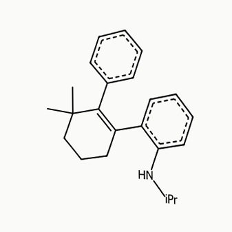 CC(C)Nc1ccccc1C1=C(c2ccccc2)C(C)(C)CCC1